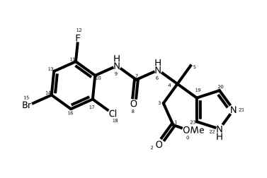 COC(=O)CC(C)(NC(=O)Nc1c(F)cc(Br)cc1Cl)c1cn[nH]c1